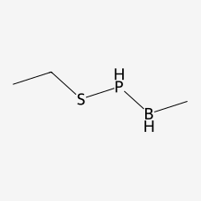 CBPSCC